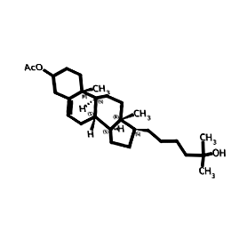 CC(=O)OC1CC[C@@]2(C)C(=CC[C@H]3[C@@H]4CC[C@H](CCCCC(C)(C)O)[C@@]4(C)CC[C@@H]32)C1